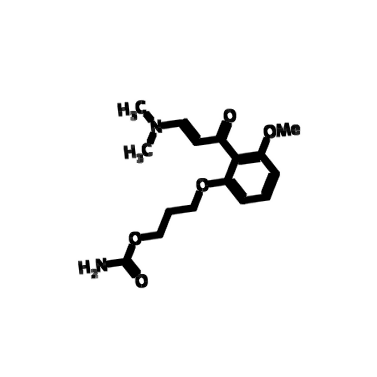 COc1cccc(OCCCOC(N)=O)c1C(=O)/C=C/N(C)C